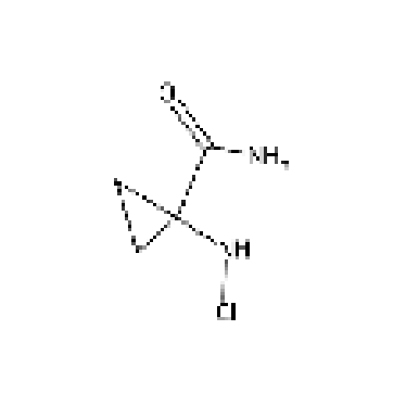 NC(=O)C1(NCl)CC1